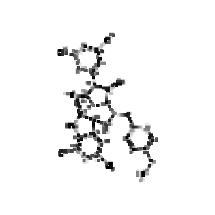 O=C1C2C(Cc3ccc(CO)cc3)NC3(C(=O)Nc4c(Cl)cc(Cl)cc43)C2C(=O)N1c1cc(Cl)cc(Cl)c1